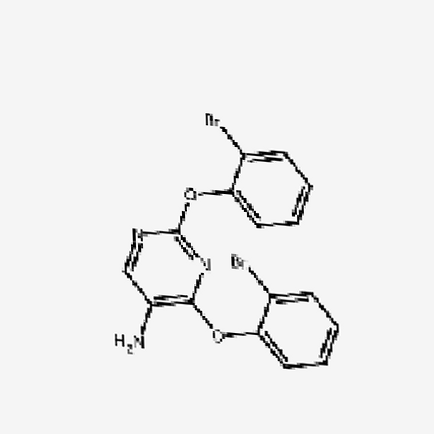 Nc1cnc(Oc2ccccc2Br)nc1Oc1ccccc1Br